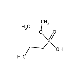 CCCP(=O)(O)OC.O